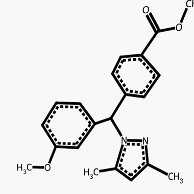 COC(=O)c1ccc(C(c2cccc(OC)c2)n2nc(C)cc2C)cc1